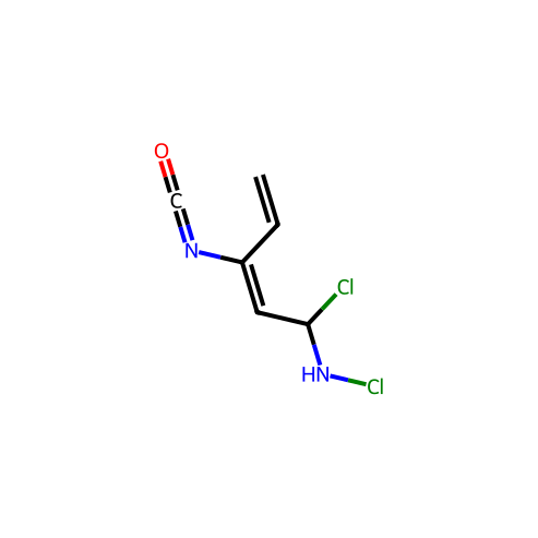 C=C/C(=C\C(Cl)NCl)N=C=O